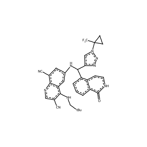 CC(C)(C)CNc1c(C#N)cnc2c(C#N)cc(NC(c3cn(C4(C(F)(F)F)CC4)nn3)c3cccc4c(=O)[nH]ccc34)cc12